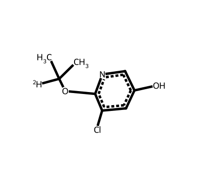 [2H]C(C)(C)Oc1ncc(O)cc1Cl